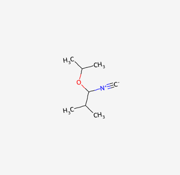 [C-]#[N+]C(OC(C)C)C(C)C